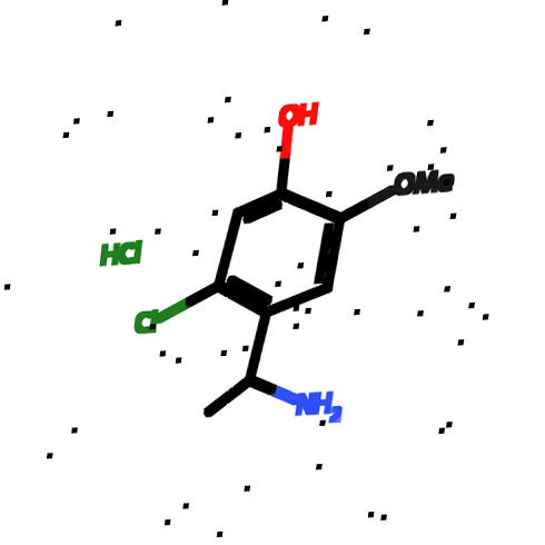 COc1cc(C(C)N)c(Cl)cc1O.Cl